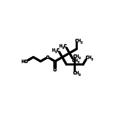 CCC(C)(C)CC(C)(C(=O)OCCO)C(C)(C)CC